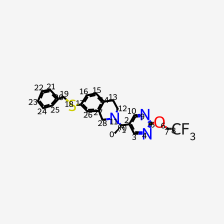 C[C@H](c1cnc(OCC(F)(F)F)nc1)N1CCc2ccc(SCc3ccccc3)cc2C1